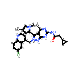 COc1nc(NC(=O)CC2CC2)nc2nn(Cc3ccnc4ccc(Cl)cc34)c(-c3cc(C(C)=O)cn3C)c12